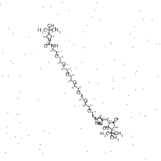 CC(C)(C)C1CN(C(=O)NCCOCCOCCOCCOCCOCCOCCOCCn2cc(CC3C(=O)CC(C(C)(C)C)C3=O)nn2)C1